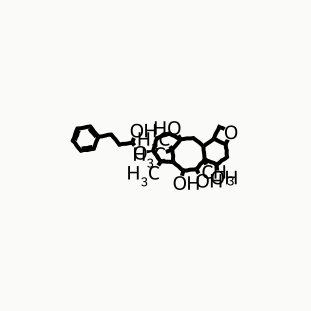 CC1C2C(O)C(O)C3(C)C(O)CC4OCC4C3CC(O)(CC[C@@H]1OC(O)CCc1ccccc1)C2(C)C